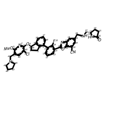 COc1nc(O[C@@H]2CCc3c(-c4cccc(-c5nc6cc(CNC[C@@H]7CCC(=O)N7)cc(C#N)c6o5)c4F)cccc32)c(Cl)cc1CN1CCCC1